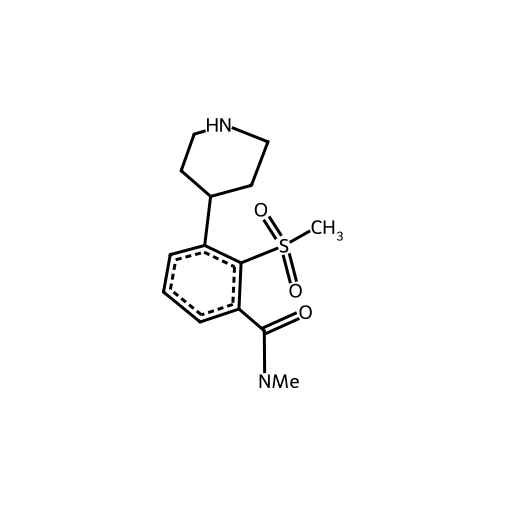 CNC(=O)c1cccc(C2CCNCC2)c1S(C)(=O)=O